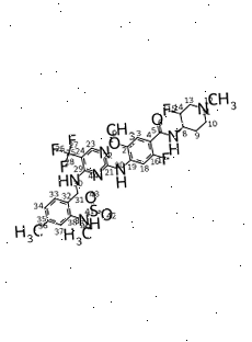 COc1cc(C(=O)N[C@@H]2CCN(C)C[C@@H]2F)c(F)cc1Nc1ncc(C(F)(F)F)c(NCc2ccc(C)cc2N(C)[SH](=O)=O)n1